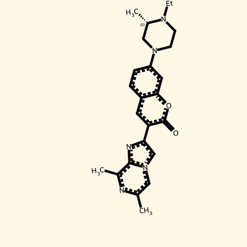 CCN1CCN(c2ccc3cc(-c4cn5cc(C)nc(C)c5n4)c(=O)oc3c2)C[C@@H]1C